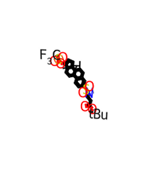 CN(CCC(=O)OC(C)(C)C)S(=O)(=O)c1ccc2c(c1)CC[C@@H]1C2CC[C@]2(C)C(OS(=O)(=O)C(F)(F)F)=CCC12